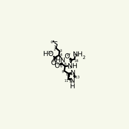 CSCCC(NC(=O)C(Cc1c[nH]cn1)NC(=O)CN)C(=O)O